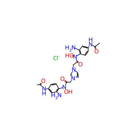 CC(=O)Nc1ccc(N(O)C(=O)Cn2cc[n+](CC(=O)N(O)c3ccc(NC(C)=O)cc3N)c2)c(N)c1.[Cl-]